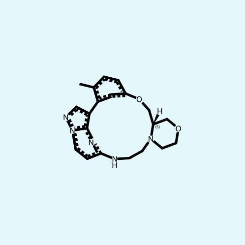 Cc1ccc2cc1-c1cnn3ccc(nc13)NCCN1CCOC[C@H]1CO2